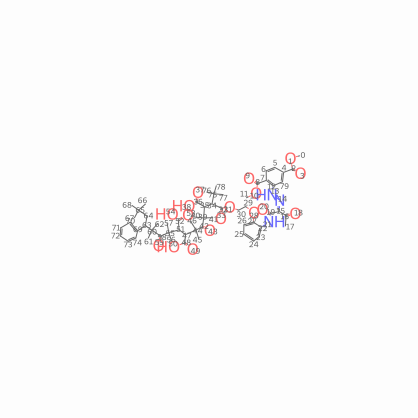 COC(=O)c1ccc(C(=O)OC)c(N/N=C(/C(C)=O)C(=O)Nc2ccccc2OCCOC(=O)C(C(C(=O)O)C(C)(C)C(=O)C(C)(C)C(C(=O)O)C(C(=O)O)C(C)(C)C(=O)C(C)(C)C(CC(C)(C)C)c2ccccc2)C(C)(C)C)c1